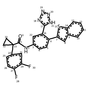 O=C(Nc1ccc(-c2cc3ccccc3s2)c(-c2nnn[nH]2)c1)C1(c2ccc(F)c(F)c2)CC1